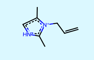 C=CC[n+]1c(C)c[nH]c1C